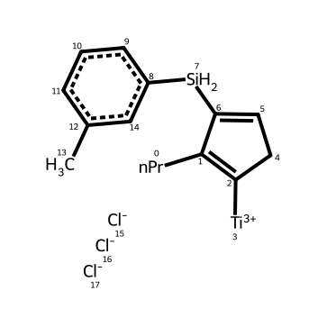 CCCC1=[C]([Ti+3])CC=C1[SiH2]c1cccc(C)c1.[Cl-].[Cl-].[Cl-]